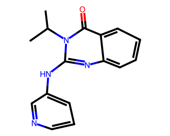 CC(C)n1c(Nc2cccnc2)nc2ccccc2c1=O